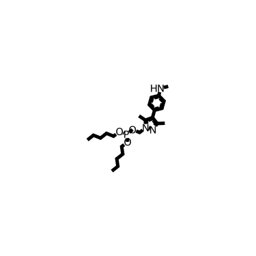 CCCCCOP(OCCCCC)OCn1nc(C)c(-c2ccc(NC)cc2)c1C